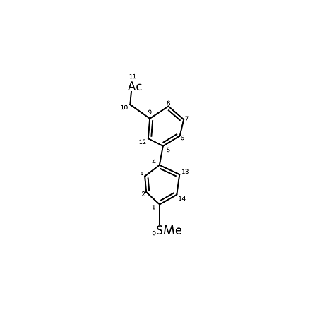 CSc1ccc(-c2cccc(CC(C)=O)c2)cc1